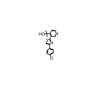 CC(C)(O)c1ccncc1-c1nc(-c2ccc(Cl)cc2)cs1